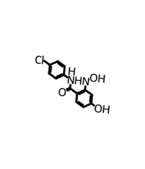 O=C(Nc1ccc(Cl)cc1)c1ccc(O)cc1NO